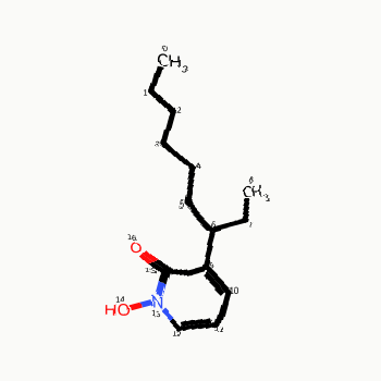 CCCCCCC(CC)c1cccn(O)c1=O